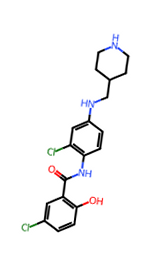 O=C(Nc1ccc(NCC2CCNCC2)cc1Cl)c1cc(Cl)ccc1O